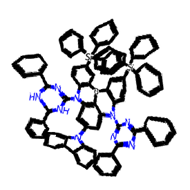 c1ccc(-c2nc(-c3ccccc3)nc(N3c4ccc([Si](c5ccccc5)(c5ccccc5)c5ccccc5)cc4B4c5cc([Si](c6ccccc6)(c6ccccc6)c6ccccc6)ccc5N(C5=NC(c6ccccc6)NC(c6ccccc6)N5)c5cc(-n6c7ccccc7c7ccccc76)cc3c54)n2)cc1